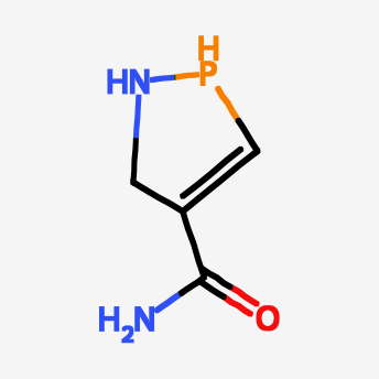 NC(=O)C1=CPNC1